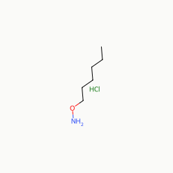 CCCCCCON.Cl